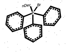 CCCCCCCCCCP(Br)(c1ccccc1)(c1ccccc1)c1ccccc1